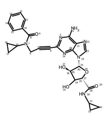 Nc1nc(C#CCN(C(=O)c2ccccc2)C2CC2)nc2c1ncn2[C@@H]1O[C@H](C(=O)NC2CC2)C(O)[C@H]1O